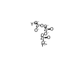 [O]=[Zr]([O-])[O-].[O]=[Zr]([O-])[O-].[O]=[Zr]([O-])[O-].[Y+3].[Y+3]